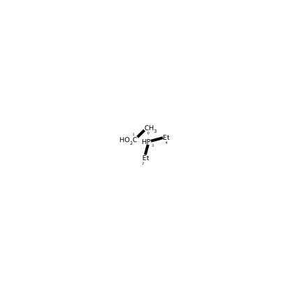 CC(=O)O.CCPCC